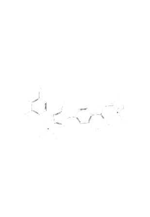 Cc1cc(-n2nc(C(F)(F)F)c(-c3cc(Cl)cc(Cl)c3)c2Br)ccc1C(=O)NC(C)C(F)(F)F